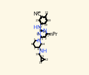 CCCc1cc(N2CCC[C@H](NCC3CC3)C2)nc(Nc2ccc(C)c(C#N)c2)n1